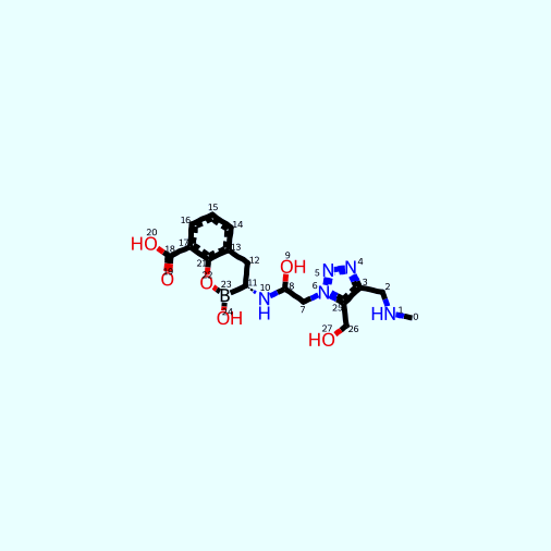 CNCc1nnn(CC(O)N[C@H]2Cc3cccc(C(=O)O)c3OB2O)c1CO